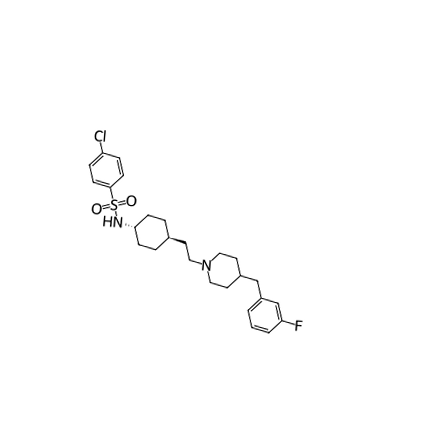 O=S(=O)(N[C@H]1CC[C@H](CCN2CCC(Cc3cccc(F)c3)CC2)CC1)c1ccc(Cl)cc1